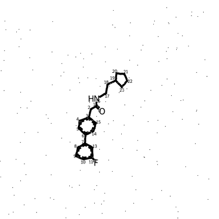 O=C(Cc1ccc(-c2cccc(F)c2)cc1)NCCC1CCCC1